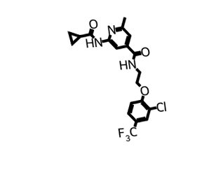 Cc1cc(C(=O)NCCOc2ccc(C(F)(F)F)cc2Cl)cc(NC(=O)C2CC2)n1